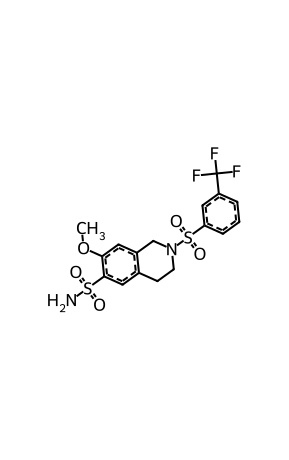 COc1cc2c(cc1S(N)(=O)=O)CCN(S(=O)(=O)c1cccc(C(F)(F)F)c1)C2